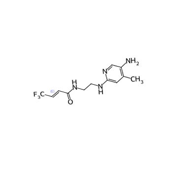 Cc1cc(NCCNC(=O)/C=C/C(F)(F)F)ncc1N